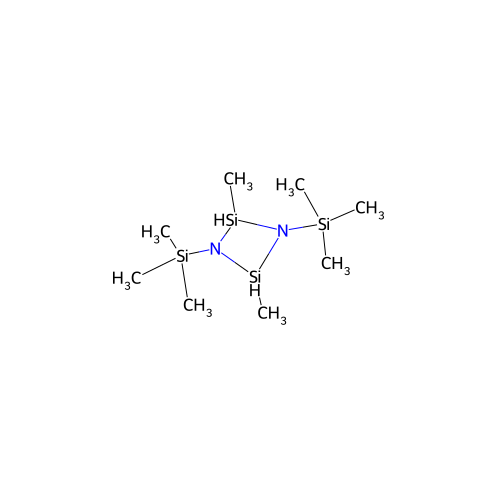 C[SiH]1N([Si](C)(C)C)[SiH](C)N1[Si](C)(C)C